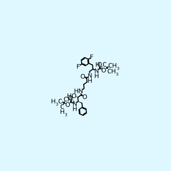 CC(C)(C)OC(=O)NC(CNC(=O)CCCNC(=O)[C@@H](O)[C@@H](Cc1ccccc1)NC(=O)OC(C)(C)C)Cc1cc(F)ccc1F